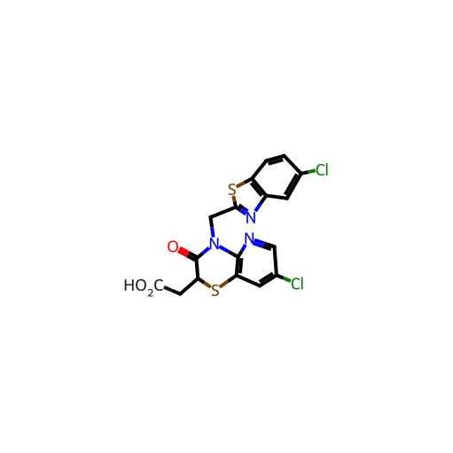 O=C(O)CC1Sc2cc(Cl)cnc2N(Cc2nc3cc(Cl)ccc3s2)C1=O